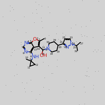 Cc1oc2ncnc(NC3(C)CC3)c2c1C(O)N1CCC(c2ccn(C(C)C)n2)CC1